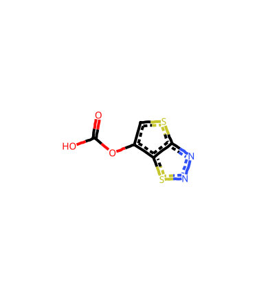 O=C(O)Oc1csc2nnsc12